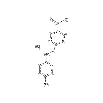 Cl.Nc1ccc(NCc2ccc([N+](=O)[O-])cc2)cc1